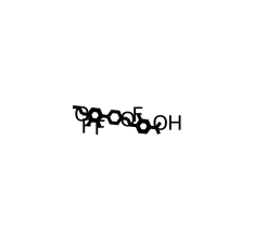 CCOc1ccc(C2CCC(OCc3ccc(C(C)O)cc3F)CC2)c(F)c1F